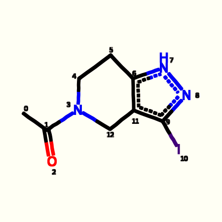 CC(=O)N1CCc2[nH]nc(I)c2C1